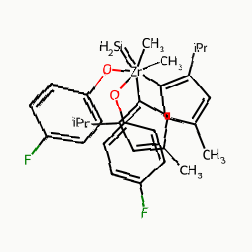 CC1=CC(C(C)C)=[C]([Zr]([CH3])([CH3])(=[SiH2])([O]c2ccc(F)cc2)([O]c2ccc(F)cc2)[C]2=C(C(C)C)C=C(C)C2)C1